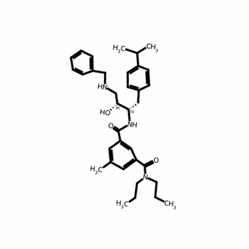 CCCN(CCC)C(=O)c1cc(C)cc(C(=O)N[C@@H](Cc2ccc(C(C)C)cc2)[C@H](O)CNCc2ccccc2)c1